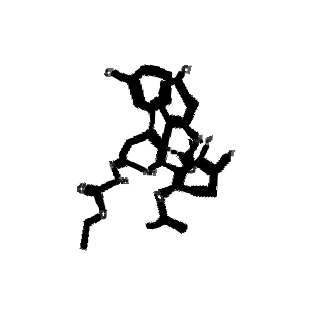 CCOC(=O)N/N=C1/C[C@@H](c2cccc(Cl)c2)[C@]2(C(=O)Nc3cc(Cl)ccc32)[C@@H](c2c(OC(C)C)ccc(F)c2F)N1